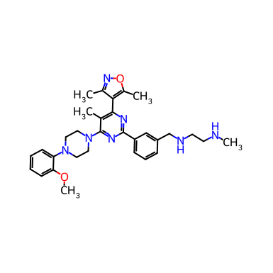 CNCCNCc1cccc(-c2nc(-c3c(C)noc3C)c(C)c(N3CCN(c4ccccc4OC)CC3)n2)c1